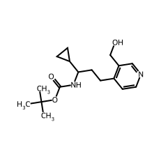 CC(C)(C)OC(=O)NC(CCc1ccncc1CO)C1CC1